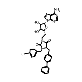 Nc1ncnc2c1ncn2[C@@H]1O[C@H](CCN2C(=O)C(Cc3ccc(-c4ccccc4)cc3)N(Cc3ccc(Cl)cc3)C2=O)C(O)[C@H]1O